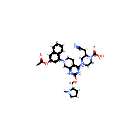 CC(=O)Oc1cc(N2CCc3c(nc(OC[C@@H]4CCCN4C)nc3N3CCN(C(=O)O)C(CC#N)C3)C2)c2ccccc2c1